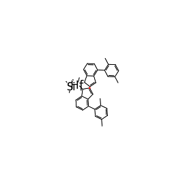 Cc1ccc(C)c(-c2cccc3c2C=C[CH]3[Hf]([CH3])([CH3])([CH]2C=Cc3c(-c4cc(C)ccc4C)cccc32)=[Si](C)C)c1